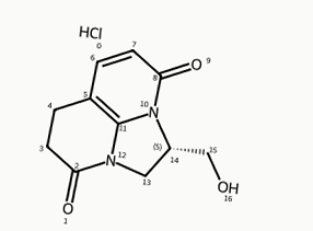 Cl.O=C1CCc2ccc(=O)n3c2N1C[C@H]3CO